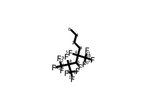 CCCCC(F)(C(F)C(F)(C(F)(F)F)C(F)(F)F)C(F)(F)F